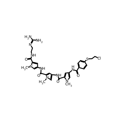 Cn1cc(NC(=O)c2cc(NC(=O)c3cc(NC(=O)c4ccc(SCCCl)cc4)cn3C)cn2C)cc1C(=O)NCCN=C(N)N